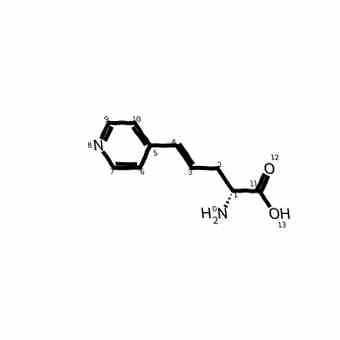 N[C@H](C/C=C/c1ccncc1)C(=O)O